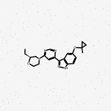 CC[C@H]1CN(c2cc(-c3n[nH]c4ccc(OC5(C)CC5)cc34)ncn2)CCO1